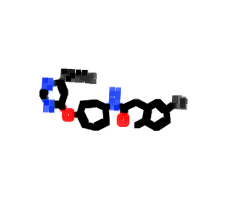 CCc1ccc(C)c(CC(=O)NC2C=CC=C(Oc3cc(NC(C)=O)ncn3)C=C2)c1